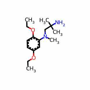 CCOc1ccc(OCC)c(N(C)CC(C)(C)N)c1